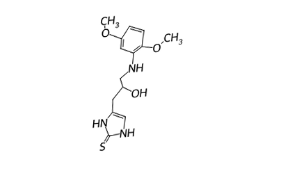 COc1ccc(OC)c(NCC(O)Cc2c[nH]c(=S)[nH]2)c1